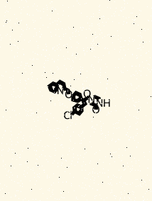 O=C1CN(C(=O)C(=Cc2ccc(Cl)cc2)c2ccc(OCc3ccc4ccccc4n3)cc2)CCN1